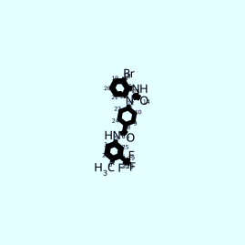 Cc1ccc(NC(=O)C2CCC(n3c(=O)[nH]c4c(Br)cccc43)CC2)cc1C(F)(F)F